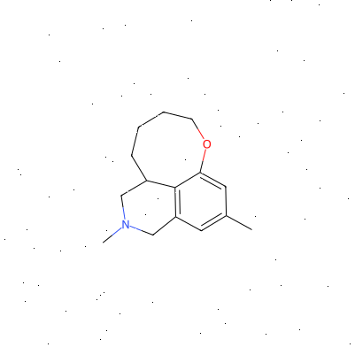 Cc1cc2c3c(c1)OCCCCC3CN(C)C2